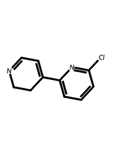 Clc1cccc(C2=CC=NCC2)n1